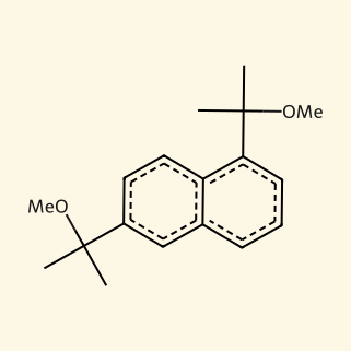 COC(C)(C)c1ccc2c(C(C)(C)OC)cccc2c1